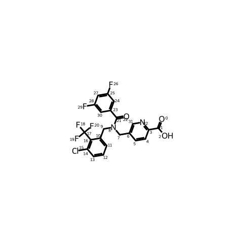 O=C(O)c1ccc(CN(Cc2cccc(Cl)c2C(F)(F)F)C(=O)c2cc(F)cc(F)c2)cn1